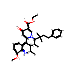 CCOC(=O)c1cn(C(CC)C(C)(C)CCc2ccccc2)c(/C(=C2\C=CC=C(OC)\C2=N\C)C(C)CC)cc1=O